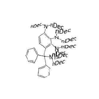 CCCCCCCCCCN(CCCCCCCCCC)c1ccc(C(c2ccccc2)(c2ccccc2)N(CCCCCCCCCC)CCCCCCCCCC)c(N(CCCCCCCCCC)CCCCCCCCCC)c1N(CCCCCCCCCC)CCCCCCCCCC